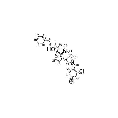 OC1(CCCc2ccccc2)CCN(C[C@H]2CN(Cc3ccc(Cl)cc3Cl)C[C@@H]2c2ccsc2)CC1